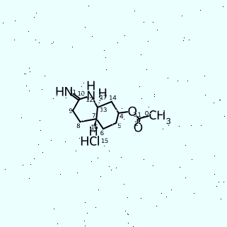 CC(=O)OC1CC[C@@H]2CCC(=N)N[C@H]2C1.Cl